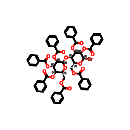 O=C(OC[C@H]1O[C@@H](O[C@H]2[C@H](OC(=O)c3ccccc3)[C@@H](OC(=O)c3ccccc3)[C@@H](Br)O[C@@H]2COC(=O)c2ccccc2)[C@H](OC(=O)c2ccccc2)[C@@H](OC(=O)c2ccccc2)[C@H]1OC(=O)c1ccccc1)c1ccccc1